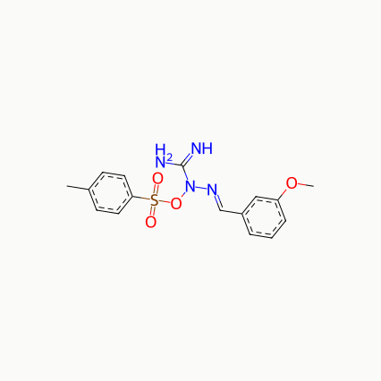 COc1cccc(C=NN(OS(=O)(=O)c2ccc(C)cc2)C(=N)N)c1